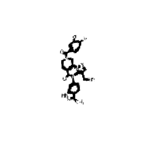 Cc1n[nH]c2cc(-n3c(=O)c4c(n5ncc(CC(C)C)c35)CN(C(=O)c3ccc(Br)c(Cl)c3)CC4)ccc12